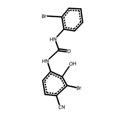 N#Cc1ccc(NC(=O)Nc2ccccc2Br)c(O)c1Br